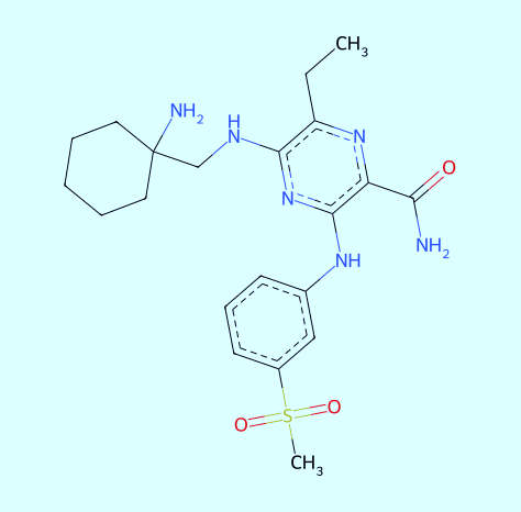 CCc1nc(C(N)=O)c(Nc2cccc(S(C)(=O)=O)c2)nc1NCC1(N)CCCCC1